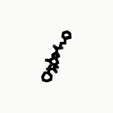 CN1C(=O)c2cc(C(=O)NCCC3=CCCCC3)nn2CC1(C)C(=O)NC1CCCCCC1